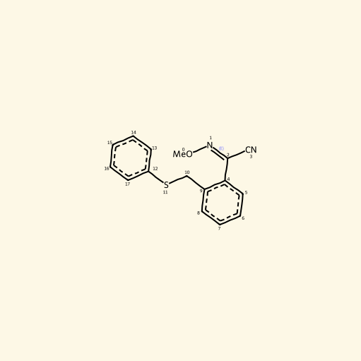 CO/N=C(/C#N)c1ccccc1CSc1ccccc1